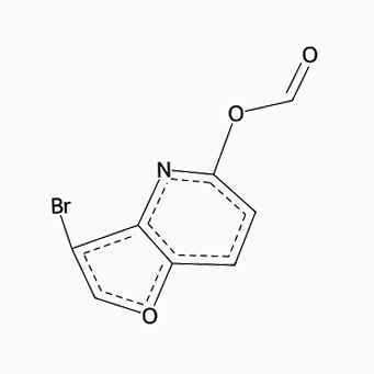 O=COc1ccc2occ(Br)c2n1